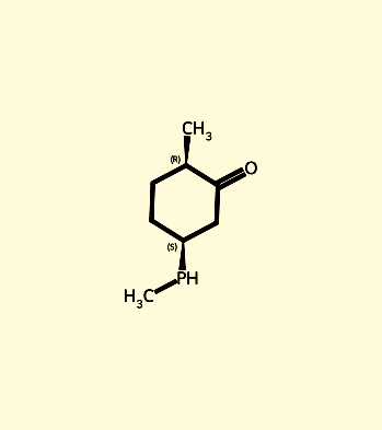 CP[C@H]1CC[C@@H](C)C(=O)C1